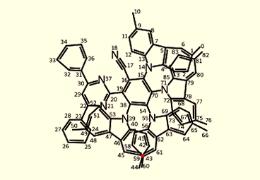 Cc1ccc2c(c1)c1cc(C)ccc1n2-c1c(C#N)c(-c2nc(-c3ccccc3)cc(-c3ccccc3)n2)c(-n2c3ccc(C)cc3c3cc(C)ccc32)c(-n2c3ccc(C)cc3c3cc(C)ccc32)c1-n1c2ccc(C)cc2c2cc(C)ccc21